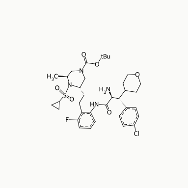 C[C@H]1CN(C(=O)OC(C)(C)C)C[C@H](CCc2c(F)cccc2NC(=O)[C@@H](N)[C@@H](c2ccc(Cl)cc2)C2CCOCC2)N1S(=O)(=O)C1CC1